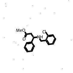 COC(=O)CC(NCc1ccccc1Cl)c1ccccc1